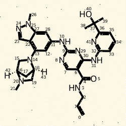 C=CCNC(=O)c1cnc(Nc2cc(N3C[C@H]4C[C@@H]3CN4C)c3cnn(C)c3c2)nc1Nc1cccc(C(C)(C)O)n1